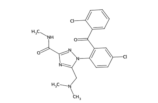 CNC(=O)c1nc(CN(C)C)n(-c2ccc(Cl)cc2C(=O)c2ccccc2Cl)n1